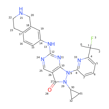 CC(C)(F)c1cccc(-n2c3nc(Nc4ccc5c(c4)CNCC5)ncc3c(=O)n2C2CC2)n1